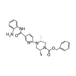 C[C@@H]1CN(C(=O)OCc2ccccc2)[C@@H](C)CN1c1ccc(C(=O)Nc2ccccc2N)cn1